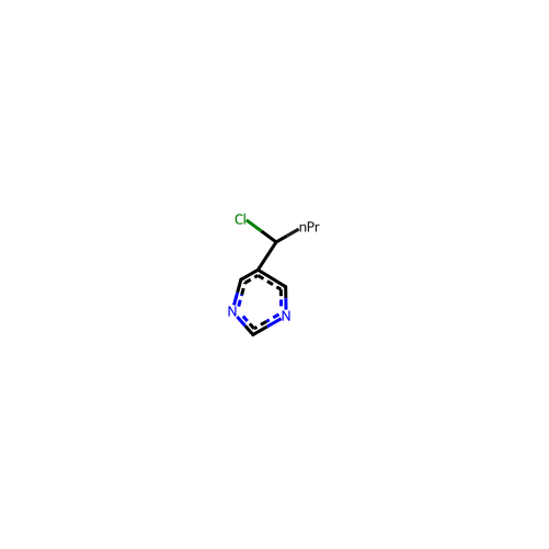 CCCC(Cl)c1cncnc1